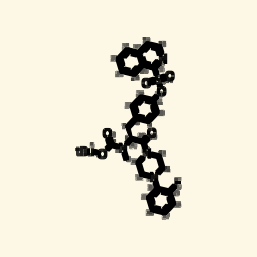 CN(C(=O)OC(C)(C)C)[C@@H](Cc1ccc(OS(=O)(=O)c2nccc3ccccc23)cc1)C(=O)N1CCN(c2ccccc2F)CC1